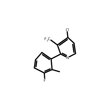 Cc1c(F)cccc1-c1nccc(Cl)c1C(F)(F)F